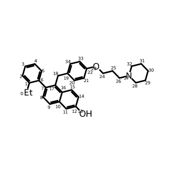 CCc1ccccc1-c1ccc2cc(O)ccc2c1Cc1ccc(OCCCN2CCCCC2)cc1